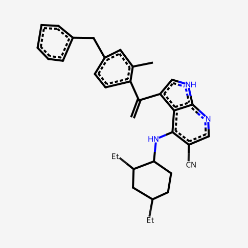 C=C(c1ccc(Cc2ccccc2)cc1C)c1c[nH]c2ncc(C#N)c(NC3CCC(CC)CC3CC)c12